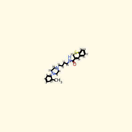 Cc1ccccc1N1CCN(CCCCNC(=O)C2=Cc3ccccc3SC2)CC1